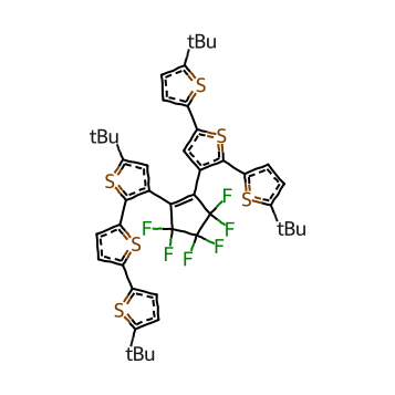 CC(C)(C)c1ccc(-c2ccc(-c3sc(C(C)(C)C)cc3C3=C(c4cc(-c5ccc(C(C)(C)C)s5)sc4-c4ccc(C(C)(C)C)s4)C(F)(F)C(F)(F)C3(F)F)s2)s1